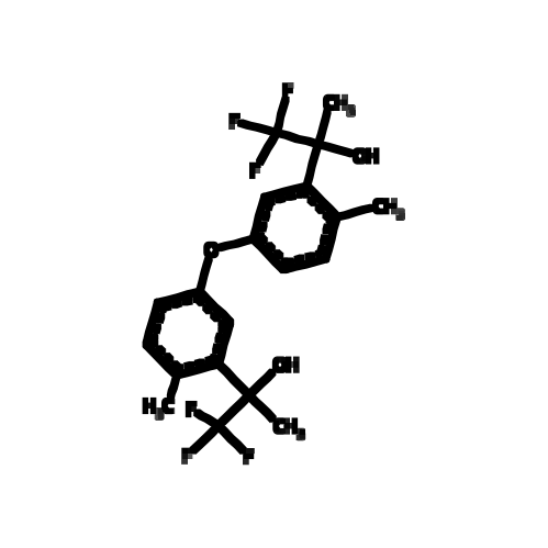 Cc1ccc(Oc2ccc(C)c(C(C)(O)C(F)(F)F)c2)cc1C(C)(O)C(F)(F)F